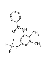 Cc1cc(OC(F)(F)F)cc(N[S+]([O-])c2ccccc2)c1C